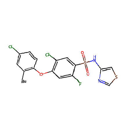 C[CH]C(C)c1cc(Cl)ccc1Oc1cc(F)c(S(=O)(=O)Nc2cscn2)cc1Cl